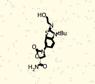 CC(C)(C)n1/c(=N/CCO)sc2cc(N3C[C@H](C(N)=O)OC3=O)ccc21